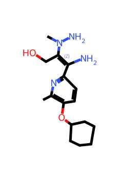 Cc1nc(/C(N)=C(\CO)N(C)N)ccc1OC1CCCCC1